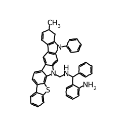 CC1C=Cc2c(n(-c3ccccc3)c3cc4c(cc23)c2ccc3c5ccccc5sc3c2n4CNC(c2ccccc2)c2ccccc2N)C1